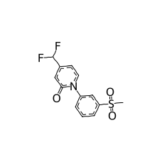 CS(=O)(=O)c1cccc(-n2ccc(C(F)F)cc2=O)c1